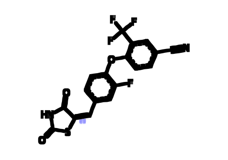 N#Cc1ccc(Oc2ccc(/C=C3/SC(=O)NC3=O)cc2F)c(C(F)(F)F)c1